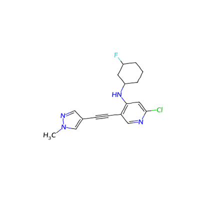 Cn1cc(C#Cc2cnc(Cl)cc2NC2CCCC(F)C2)cn1